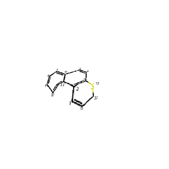 C1=Cc2c(ccc3ccccc23)SC1